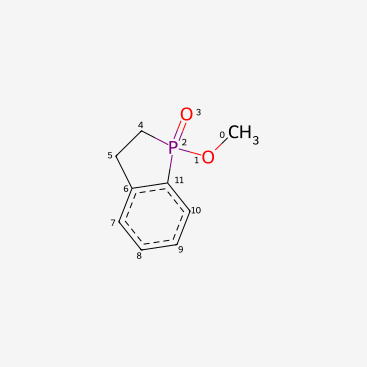 COP1(=O)CCc2ccccc21